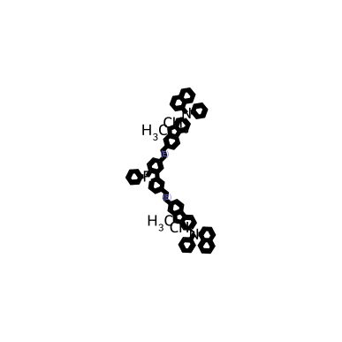 CC1(C)c2cc(/C=C/c3ccc4c(c3)c3cc(/C=C/c5ccc6c(c5)C(C)(C)c5cc(N(c7ccccc7)c7cccc8ccccc78)ccc5-6)ccc3p4-c3ccccc3)ccc2-c2ccc(N(c3ccccc3)c3cccc4ccccc34)cc21